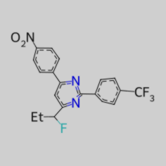 CCC(F)c1cc(-c2ccc([N+](=O)[O-])cc2)nc(-c2ccc(C(F)(F)F)cc2)n1